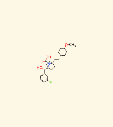 CO[C@H]1CC[C@H](CCC23CCC([C@@H](O)c4cccc(F)c4)(CC2)N3C(=O)O)CC1